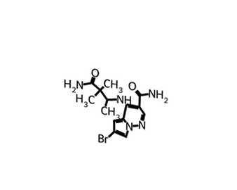 CC(Nc1c(C(N)=O)cnn2cc(Br)cc12)C(C)(C)C(N)=O